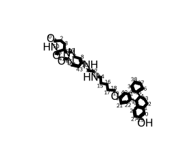 O=C1CCC(n2nc3cc(NCCNCCCCCOc4ccc([C@@H]5c6ccc(O)cc6CC[C@@H]5c5ccccc5)cc4)ccn3c2=O)C(=O)N1